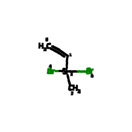 C=C[Si](C)(Br)Br